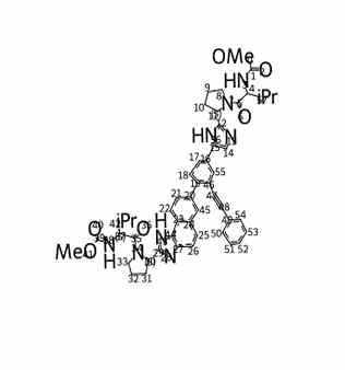 COC(=O)NC(C(=O)N1CCC[C@H]1c1ncc(-c2ccc(-c3ccc4c(ccc5nc([C@@H]6CCCN6C(=O)[C@@H](NC(=O)OC)C(C)C)[nH]c54)c3)c(C#Cc3ccccc3)c2)[nH]1)C(C)C